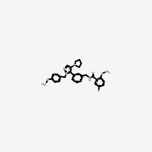 COc1ccc(Cn2ncc(N3CCCC3)c2-c2cccc(CNC(=O)c3cc(F)ccc3OC)c2)cc1